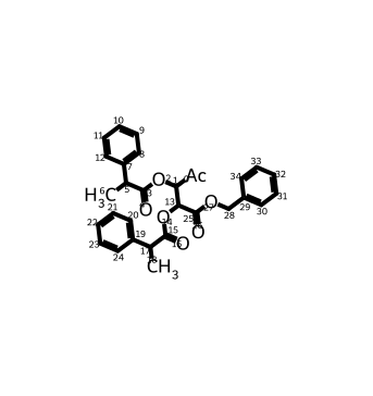 CC(=O)C(OC(=O)C(C)c1ccccc1)C(OC(=O)C(C)c1ccccc1)C(=O)OCc1ccccc1